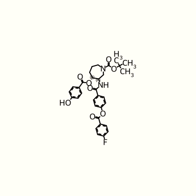 CC(C)(C)OC(=O)N1CCC[C@@H](OC(=O)c2ccc(O)cc2)[C@H](NC(=O)c2ccc(OC(=O)c3ccc(F)cc3)cc2)C1